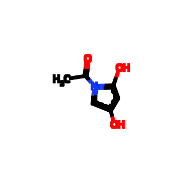 CC(=O)n1cc(O)cc1O